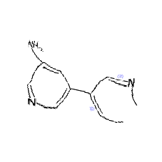 C/C=C(\C=N/C)c1cncc(N)c1